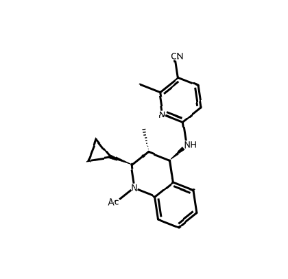 CC(=O)N1c2ccccc2[C@H](Nc2ccc(C#N)c(C)n2)[C@@H](C)[C@@H]1C1CC1